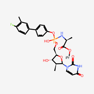 Cc1cc(-c2ccc(O[PH](O)(N[C@@H](C)C(=O)OC(C)C)OC[C@H]3O[C@@H](n4ccc(=O)[nH]c4=O)[C@@H](C)[C@@H]3O)cc2)ccc1F